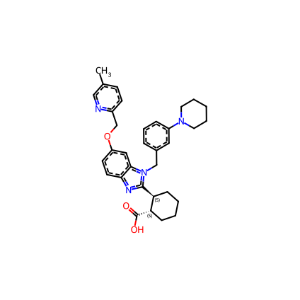 Cc1ccc(COc2ccc3nc([C@H]4CCCC[C@@H]4C(=O)O)n(Cc4cccc(N5CCCCC5)c4)c3c2)nc1